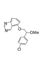 COC(COc1cccc2ncncc12)c1ccc(Cl)cc1